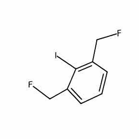 FCc1cccc(CF)c1I